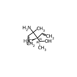 C=CC(C)(N)[C@](C)(C=C)[C@@H](C)O